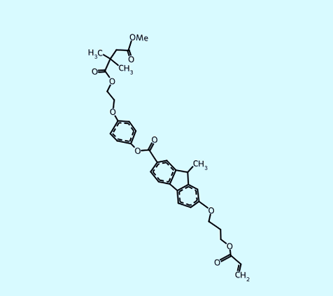 C=CC(=O)OCCCOc1ccc2c(c1)C(C)c1cc(C(=O)Oc3ccc(OCCOC(=O)C(C)(C)CC(=O)OC)cc3)ccc1-2